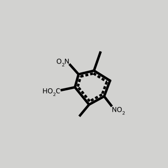 Cc1cc([N+](=O)[O-])c(C)c(C(=O)O)c1[N+](=O)[O-]